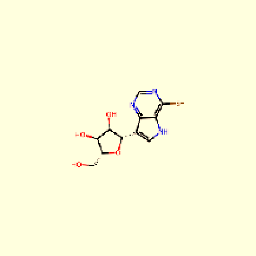 OC[C@H]1O[C@@H](c2c[nH]c3c(S)ncnc23)[C@H](O)[C@@H]1O